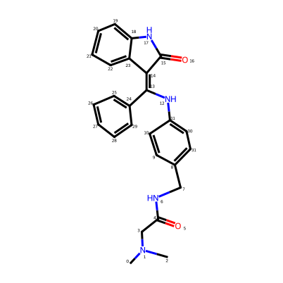 CN(C)CC(=O)NCc1ccc(N/C(=C2\C(=O)Nc3ccccc32)c2ccccc2)cc1